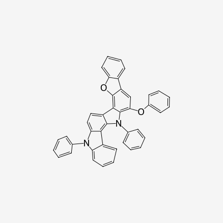 c1ccc(Oc2cc3c4ccccc4oc3c3c4ccc5c(c6ccccc6n5-c5ccccc5)c4n(-c4ccccc4)c23)cc1